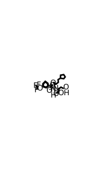 O=CCC(C(=O)O)N(NS(=O)(=O)c1cccc(OC(F)(F)F)c1)C(=O)CCC1CCCC1